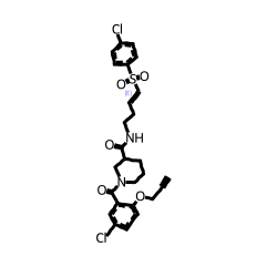 C#CCOc1ccc(Cl)cc1C(=O)N1CCCC(C(=O)NCC/C=C/S(=O)(=O)c2ccc(Cl)cc2)C1